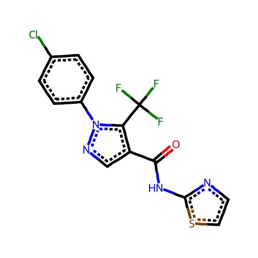 O=C(Nc1nccs1)c1cnn(-c2ccc(Cl)cc2)c1C(F)(F)F